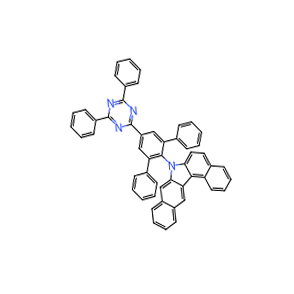 c1ccc(-c2nc(-c3ccccc3)nc(-c3cc(-c4ccccc4)c(-n4c5cc6ccccc6cc5c5c6ccccc6ccc54)c(-c4ccccc4)c3)n2)cc1